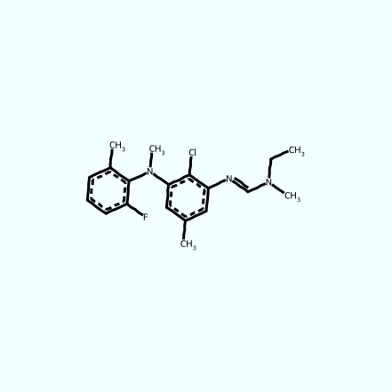 CCN(C)C=Nc1cc(C)cc(N(C)c2c(C)cccc2F)c1Cl